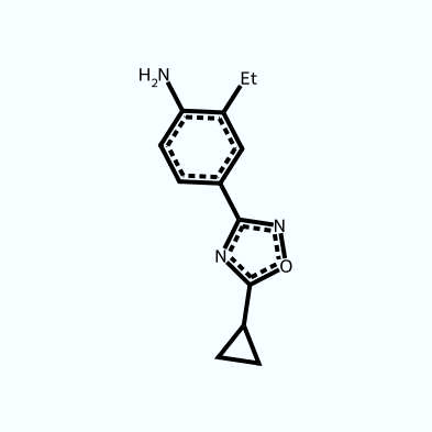 CCc1cc(-c2noc(C3CC3)n2)ccc1N